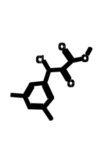 COC(=O)C(=O)C(Cl)c1cc(C)cc(C)c1